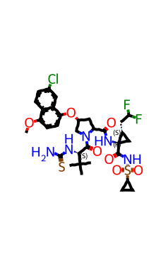 COc1ccc(OC2CC(C(=O)N[C@]3(C(=O)NS(=O)(=O)C4CC4)C[C@H]3CC(F)F)N(C(=O)[C@@H](NC(N)=S)C(C)(C)C)C2)c2cc(Cl)ccc12